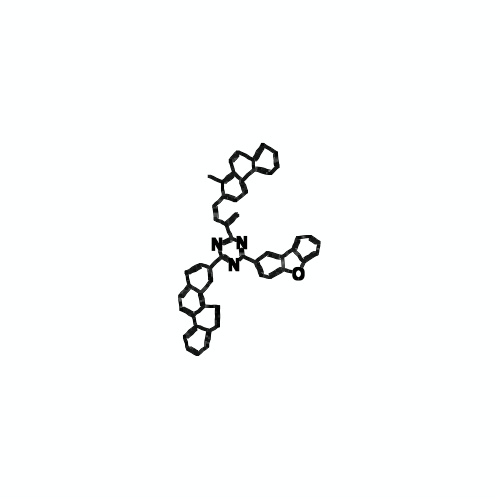 C=C(/C=C\c1ccc2c(ccc3ccccc32)c1C)c1nc(-c2ccc3ccc4c5ccccc5ccc4c3c2)nc(-c2ccc3oc4ccccc4c3c2)n1